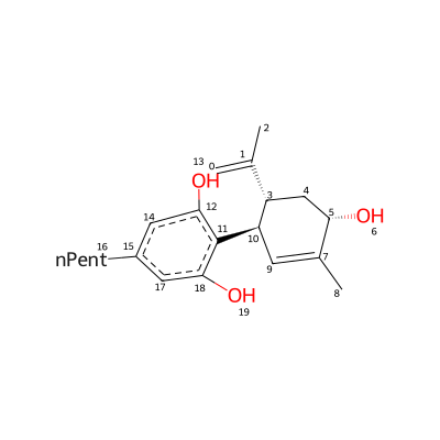 C=C(C)[C@@H]1C[C@H](O)C(C)=C[C@H]1c1c(O)cc(CCCCC)cc1O